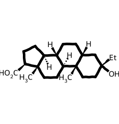 CC[C@@]1(O)CC[C@@]2(C)[C@H](CC[C@@H]3[C@@H]2CC[C@]2(C)[C@@H](C(=O)O)CC[C@@H]32)C1